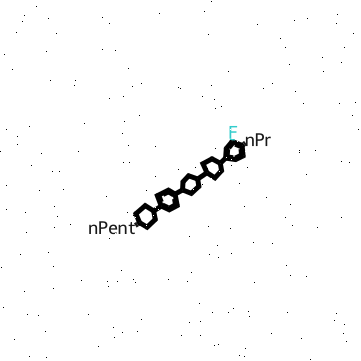 CCCCCC1CCC(c2ccc(C3CCC(C4CCC(c5ccc(CCC)c(F)c5)CC4)CC3)cc2)CC1